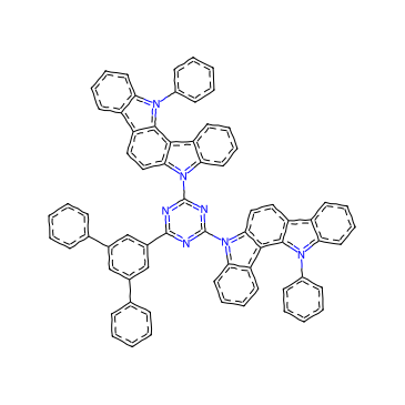 c1ccc(-c2cc(-c3ccccc3)cc(-c3nc(-n4c5ccccc5c5c4ccc4c6ccccc6n(-c6ccccc6)c45)nc(-n4c5ccccc5c5c4ccc4c6ccccc6n(-c6ccccc6)c45)n3)c2)cc1